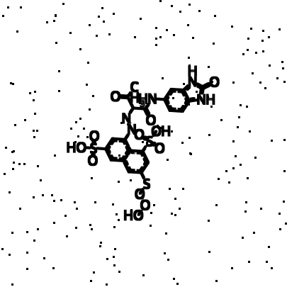 CC(=O)C(N=Nc1cc(S(=O)(=O)O)cc2cc(SOOO)cc(S(=O)(=O)O)c12)C(=O)Nc1ccc2[nH]c(=O)[nH]c2c1